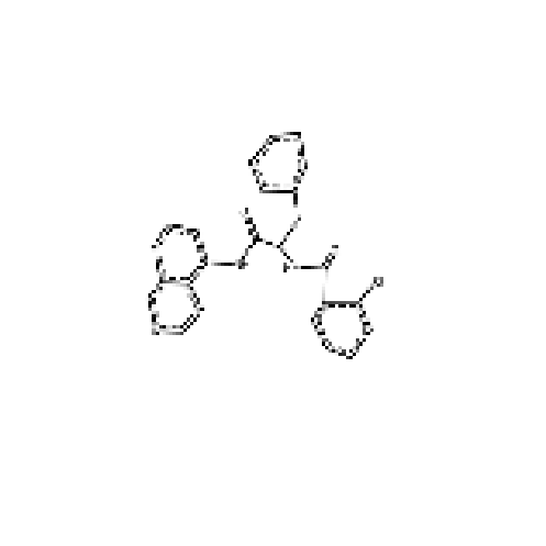 O=C(NC(Cc1ccccc1)C(=O)Nc1cccc2cnccc12)c1ccccc1Cl